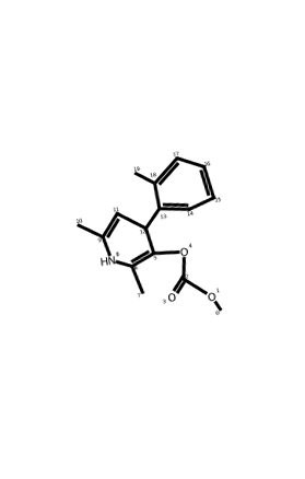 COC(=O)OC1=C(C)NC(C)=CC1c1ccccc1C